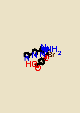 Nc1c(Br)c(Oc2ccc(C(=O)O)cc2)nc2c(-c3ccc(-c4cccnc4)nc3)cnn12